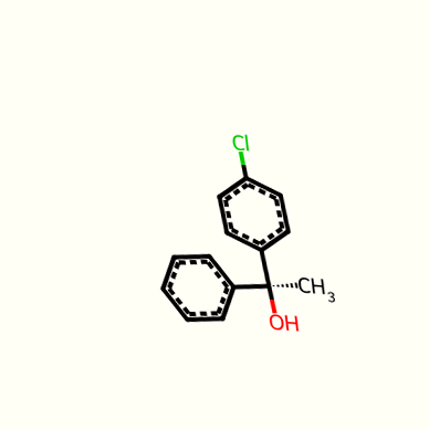 C[C@](O)(c1ccccc1)c1ccc(Cl)cc1